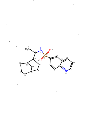 CC(NS(=O)(=O)c1ccc2ncccc2c1)C1CCC2CCCC1C2